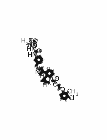 Cc1c(Cl)cccc1OCCOC(=O)N1C[C@@H]2C[C@@H]2c2c(-c3cnn(Cc4cccc(NC(=O)NOS(C)(=O)=O)c4)c3)cccc21